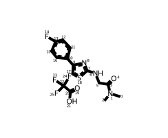 CN(C)C(=O)CNc1nc(-c2ccc(F)cc2)cs1.O=C(O)C(F)(F)F